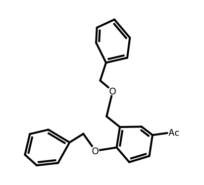 CC(=O)c1ccc(OCc2ccccc2)c(COCc2ccccc2)c1